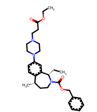 CCOC(=O)CCN1CCN(c2ccc3c(c2)[C@H](CC)N(C(=O)OCc2ccccc2)CC[C@@H]3C)CC1